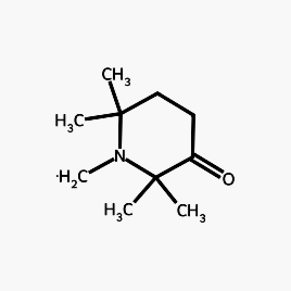 [CH2]N1C(C)(C)CCC(=O)C1(C)C